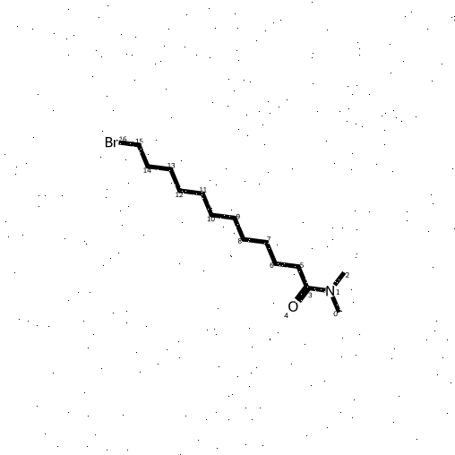 CN(C)C(=O)CCCCCCCCCCCBr